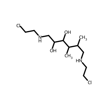 CC(CNCCCl)C(C)C(O)C(O)CNCCCl